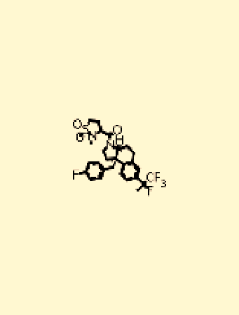 CN1C(C(=O)N2CC[C@@]3(Cc4ccc(F)cc4)c4ccc(C(C)(F)C(F)(F)F)cc4CC[C@@H]23)CCS1(=O)=O